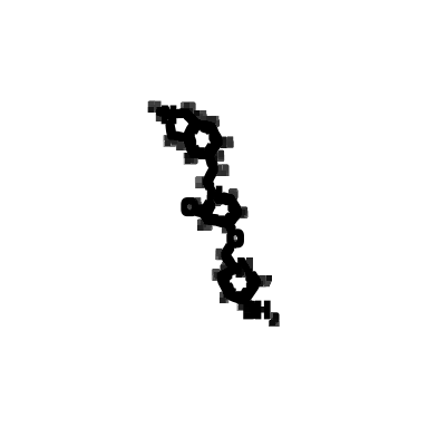 Bc1ccc(COc2ccn(CCc3ccc4c(c3)CN(C)C4)c(=O)c2)nc1